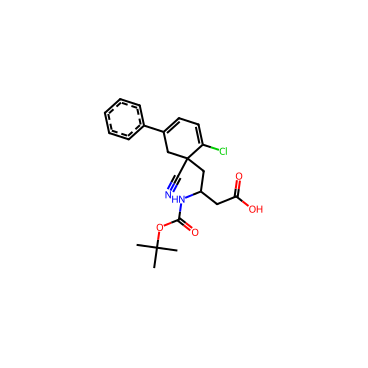 CC(C)(C)OC(=O)NC(CC(=O)O)CC1(C#N)CC(c2ccccc2)=CC=C1Cl